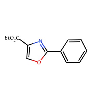 CCOC(=O)c1coc(-c2ccccc2)n1